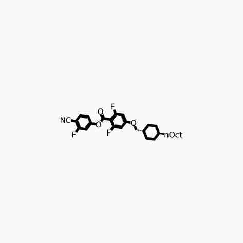 CCCCCCCC[C@H]1CC[C@H](COc2cc(F)c(C(=O)Oc3ccc(C#N)c(F)c3)c(F)c2)CC1